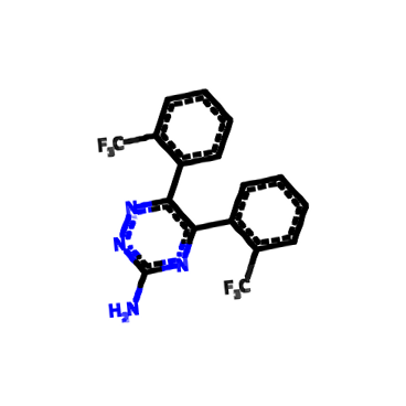 Nc1nnc(-c2ccccc2C(F)(F)F)c(-c2ccccc2C(F)(F)F)n1